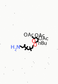 C=C(CCN)C(C)(C)CC(C)(C)CCOC1OC(COC(C)=O)C(OC(C)=O)C(OC(C)=O)C1CCCC